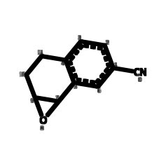 N#Cc1ccc2c(c1)C1OC1CC2